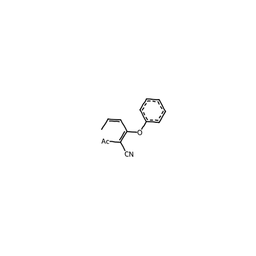 C/C=C\C(Oc1ccccc1)=C(\C#N)C(C)=O